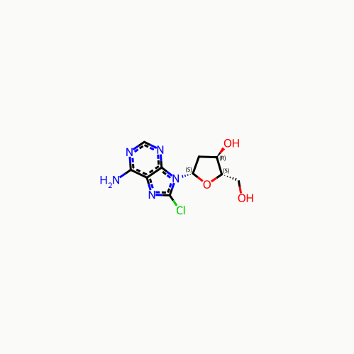 Nc1ncnc2c1nc(Cl)n2[C@@H]1C[C@@H](O)[C@H](CO)O1